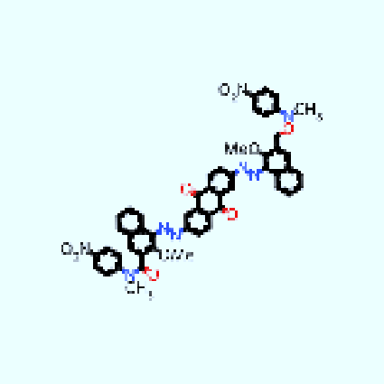 COc1c(CON(C)c2ccc([N+](=O)[O-])cc2)cc2ccccc2c1N=Nc1ccc2c(c1)C(=O)c1ccc(N=Nc3c(OC)c(C(=O)N(C)c4ccc([N+](=O)[O-])cc4)cc4ccccc34)cc1C2=O